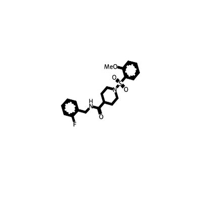 COc1ccccc1S(=O)(=O)N1CCC(C(=O)NCc2ccccc2F)CC1